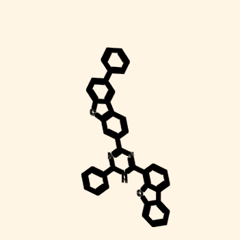 c1ccc(-c2ccc3oc4cc(C5=NC(c6ccccc6)NC(c6cccc7c6oc6ccccc67)=N5)ccc4c3c2)cc1